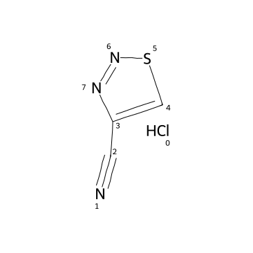 Cl.N#Cc1csnn1